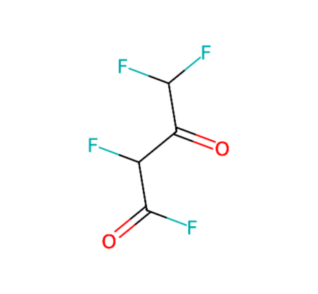 O=C(F)C(F)C(=O)C(F)F